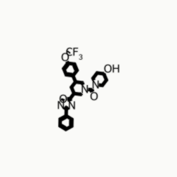 O=C(N1CCC(O)CC1)N1CC(c2ccc(OC(F)(F)F)cc2)CC(c2nc(-c3ccccc3)no2)C1